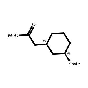 COC(=O)C[C@H]1CCC[C@@H](OC)C1